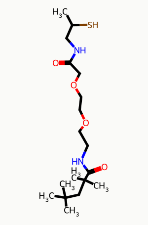 CC(S)CNC(=O)COCCOCCNC(=O)C(C)(C)CC(C)(C)C